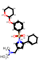 CN(Cc1cc(C2=CCCCC2)n(S(=O)(=O)c2cccc(OC3CCCCO3)c2)c1)C(=O)O